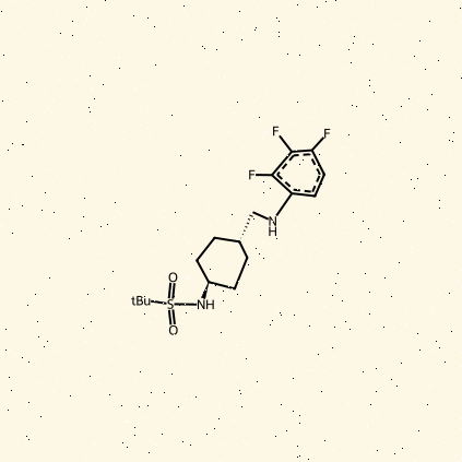 CC(C)(C)S(=O)(=O)N[C@H]1CC[C@H](CNc2ccc(F)c(F)c2F)CC1